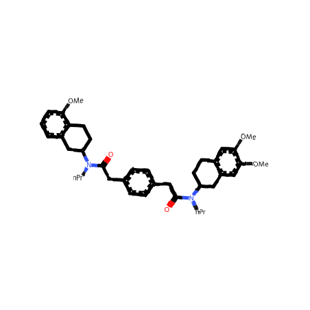 CCCN(C(=O)Cc1ccc(CC(=O)N(CCC)C2CCc3c(cccc3OC)C2)cc1)C1CCc2cc(OC)c(OC)cc2C1